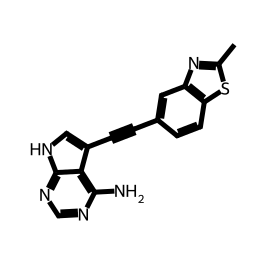 Cc1nc2cc(C#Cc3c[nH]c4ncnc(N)c34)ccc2s1